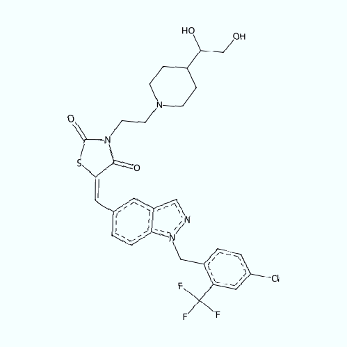 O=C1SC(=Cc2ccc3c(cnn3Cc3ccc(Cl)cc3C(F)(F)F)c2)C(=O)N1CCN1CCC(C(O)CO)CC1